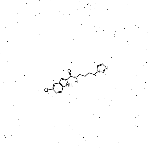 O=C(NCCCCn1ccnc1)c1cc2cc(Cl)ccc2[nH]1